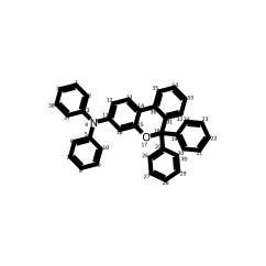 c1ccc(N(c2ccccc2)c2ccc3c(c2)OC(c2ccccc2)(c2ccccc2)c2ccccc2-3)cc1